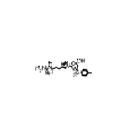 Cc1ccc([S+]([O-])N(CCn2cc(CCCNC(=N)N)nn2)CC(=O)O)cc1